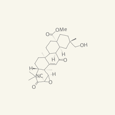 COC(=O)[C@@]12CCC3[C@H](C(=O)C=C4[C@@]5(C)[C@H]6O[C@@]6(C#N)C(=O)C(C)(C)[C@@H]5CC[C@]43C)[C@@H]1C[C@@](C)(CO)CC2